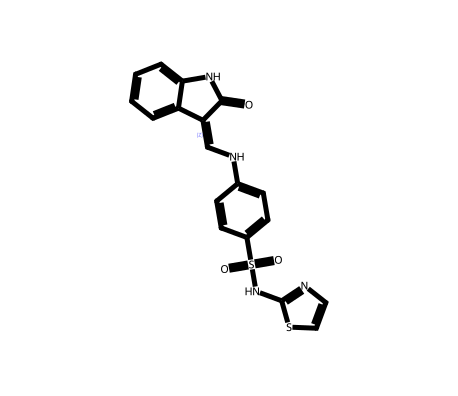 O=C1Nc2ccccc2/C1=C/Nc1ccc(S(=O)(=O)Nc2nccs2)cc1